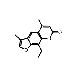 CCc1c2occ(C)c2cc2c(C)cc(=O)oc12